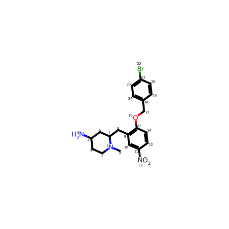 CN1CCC(N)CC1Cc1cc([N+](=O)[O-])ccc1OCc1ccc(Br)cc1